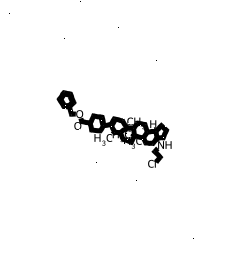 CC1C(C2=CCC(C(=O)OCc3ccccc3)CC2)=CCC2(C)C1CC[C@]1(C)C2CCC2[C@H]3CCCC3(NCCCl)CC[C@]21C